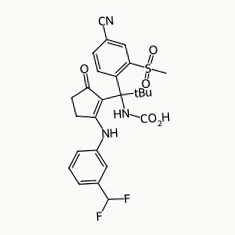 CC(C)(C)C(NC(=O)O)(C1=C(Nc2cccc(C(F)F)c2)CCC1=O)c1ccc(C#N)cc1S(C)(=O)=O